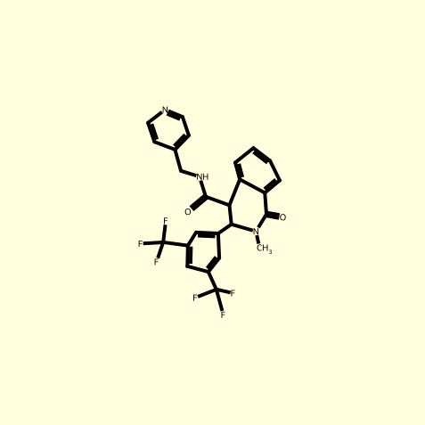 CN1C(=O)c2ccccc2C(C(=O)NCc2ccncc2)C1c1cc(C(F)(F)F)cc(C(F)(F)F)c1